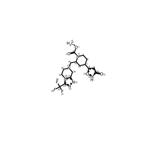 COC(=O)N1CCC(c2cc(=O)[nH]o2)CC1CN1CCn2c(nnc2C(F)(F)F)C1